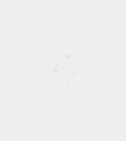 CC(C)(C)OC(N)=O.CN